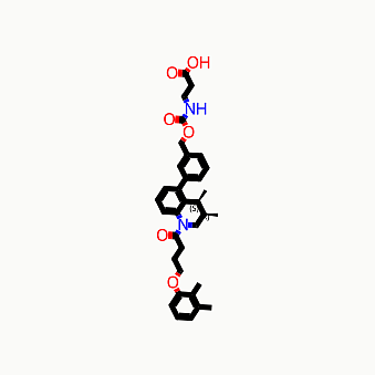 Cc1cccc(OCCCC(=O)N2C[C@H](C)[C@H](C)c3c(-c4cccc(COC(=O)NCCC(=O)O)c4)cccc32)c1C